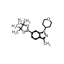 Cc1nn(C2CCOCC2)c2cc(B3OC(C)(C)C(C)(C)O3)ccc12